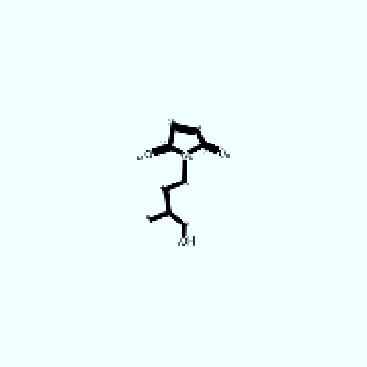 CC(CO)CCN1C(=O)C=CC1=O